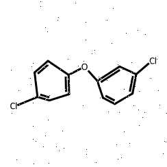 Clc1ccc(Oc2[c]ccc(Cl)c2)cc1